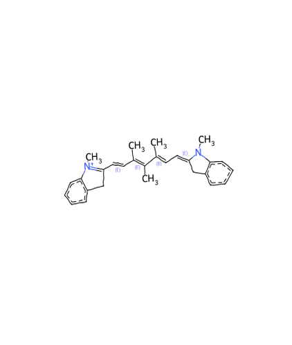 CC(=C\C=C1/Cc2ccccc2N1C)/C(C)=C(C)/C=C/C1=[N+](C)c2ccccc2C1